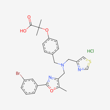 Cc1oc(-c2cccc(Br)c2)nc1CN(Cc1ccc(OC(C)(C)C(=O)O)cc1)Cc1cscn1.Cl